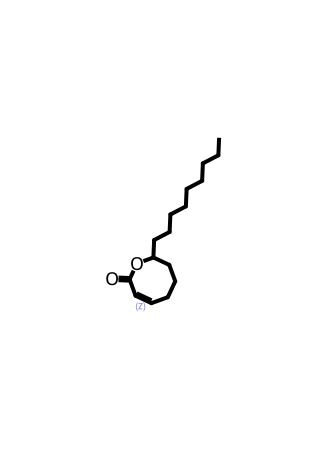 CCCCCCCCCC1CCC/C=C\C(=O)O1